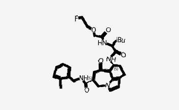 CCC(C)C(NC(=O)COCCF)C(=O)N[C@H]1CCc2ccn3c2C1C(=O)C[C@H](C(=O)NCc1ccccc1C)C3